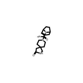 CCCC(=O)N1C2C=C(N3CCC4(CC3)CNC(=O)C4)CC1CC2